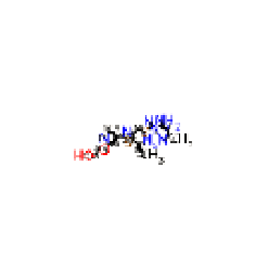 C=C(N)/C=C(N)\N=C(/N)SCc1nc(-c2ccnc(OCCO)c2)sc1CCC